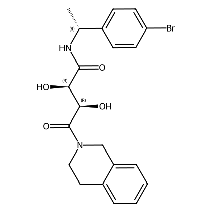 C[C@@H](NC(=O)[C@H](O)[C@@H](O)C(=O)N1CCc2ccccc2C1)c1ccc(Br)cc1